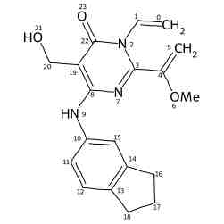 C=Cn1c(C(=C)OC)nc(Nc2ccc3c(c2)CCC3)c(CO)c1=O